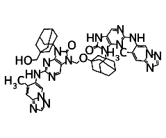 Cc1cc2ncnn2cc1Nc1ncc2[nH]c(=O)n(C34CC5CC(CC(OCn6c(=O)n(C78CC9CC(CC(CO)(C9)C7)C8)c7nc(Nc8cn9ncnc9cc8C)ncc76)(C5)C3)C4)c2n1